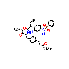 COC(=O)CCc1ccc(CC(NC(=O)C(CC(C)C)c2ccc(NS(=O)(=O)c3ccccc3)cc2)C(=O)OC)cc1